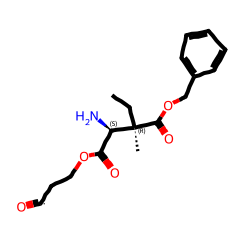 CC[C@@](C)(C(=O)OCc1ccccc1)[C@H](N)C(=O)OCC[C]=O